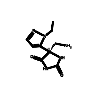 CCn1nccc1[C@@]1(CN)NC(=O)NC1=O